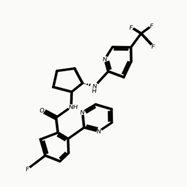 O=C(NC1CCC[C@@H]1Nc1ccc(C(F)(F)F)cn1)c1cc(F)ccc1-c1ncccn1